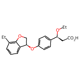 CCO[C@@H](CC(=O)O)c1ccc(O[C@@H]2COc3c(CC)cccc32)cc1